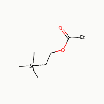 CCC(=O)OCC[Si](C)(C)C